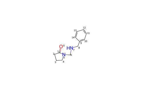 O=C1CCCN1CNCc1ccccc1